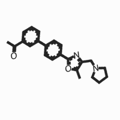 CC(=O)c1cccc(-c2ccc(-c3nc(CN4CCCC4)c(C)o3)cc2)c1